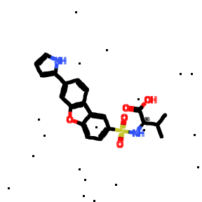 CC(C)[C@@H](NS(=O)(=O)c1ccc2oc3cc(-c4ccc[nH]4)ccc3c2c1)C(=O)O